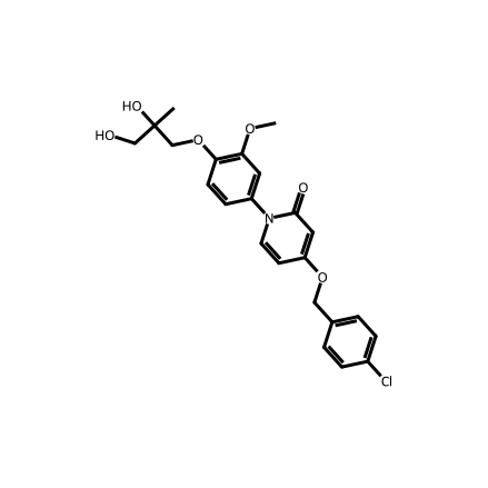 COc1cc(-n2ccc(OCc3ccc(Cl)cc3)cc2=O)ccc1OCC(C)(O)CO